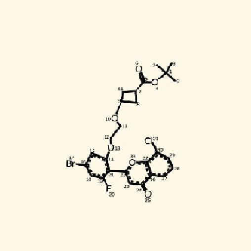 CC(C)(C)OC(=O)[C@H]1C[C@@H](OCCOc2cc(Br)cc(F)c2-c2cc(=O)c3cccc(Cl)c3o2)C1